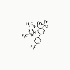 CCS(=O)(=O)c1ccc(-c2ccc(C(F)(F)F)cc2)nc1C(=O)N(C)c1nnc(C(F)(F)F)s1